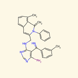 C=C1c2c(C)cccc2C=C(CNc2ncnc(P)c2C(=N)c2cccc(C)c2)N1c1ccccc1